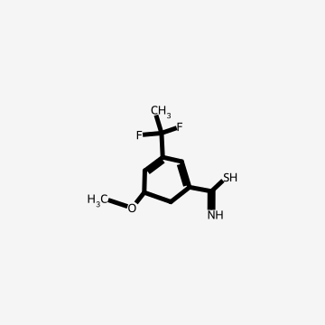 COC1C=C(C(C)(F)F)C=C(C(=N)S)C1